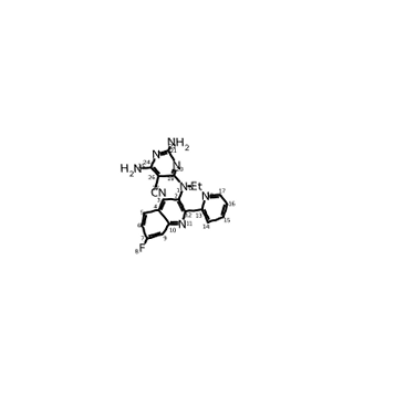 CCN(c1cc2ccc(F)cc2nc1-c1ccccn1)c1nc(N)nc(N)c1C#N